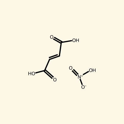 O=C(O)/C=C/C(=O)O.O=[N+]([O-])O